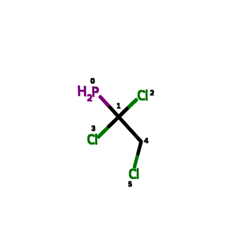 PC(Cl)(Cl)CCl